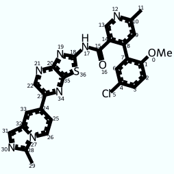 COc1ccc(Cl)cc1-c1cc(C)ncc1C(=O)Nc1nc2ncc(-c3ccn4c(C)ncc4c3)nc2s1